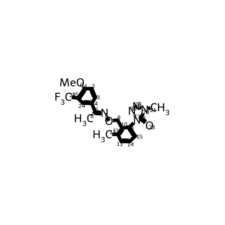 COc1ccc(C(C)=NOCc2c(C)cccc2-n2nnn(C)c2=O)cc1C(F)(F)F